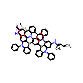 C=C/C=C(\C)Nc1cc2c3c(c1)N(c1ccccc1)c1cc4c(cc1B3c1ccccc1N2c1ccccc1)B1c2ccccc2N(c2ccccc2)c2cc(N/C(C)=C/C)cc(c21)N4c1c(-c2ccccc2)cccc1-c1ccccc1